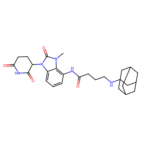 Cn1c(=O)n(C2CCC(=O)NC2=O)c2cccc(NC(=O)CCCNC34CC5CC(CC(C5)C3)C4)c21